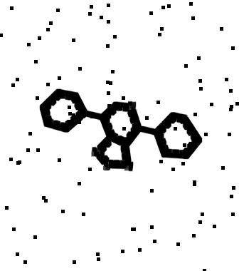 c1ccc(-c2cnc(-c3ccccc3)c3nsnc23)cc1